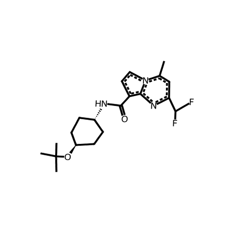 Cc1cc(C(F)F)nc2c(C(=O)N[C@H]3CC[C@H](OC(C)(C)C)CC3)ccn12